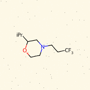 CC(C)C1CN(CCC(F)(F)F)CCO1